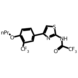 CCCOc1ccc(-c2csc(NC(=O)C(F)(F)F)n2)cc1C(F)(F)F